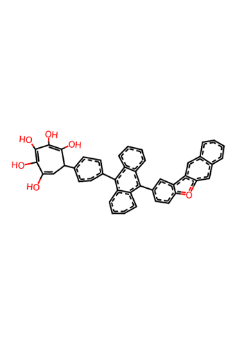 OC1=CC(c2ccc(-c3c4ccccc4c(-c4ccc5oc6cc7ccccc7cc6c5c4)c4ccccc34)cc2)C(O)=C(O)C(O)=C1O